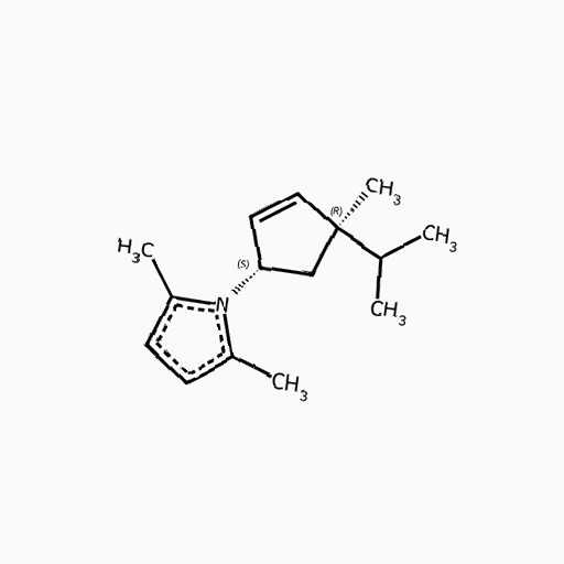 Cc1ccc(C)n1[C@@H]1C=C[C@@](C)(C(C)C)C1